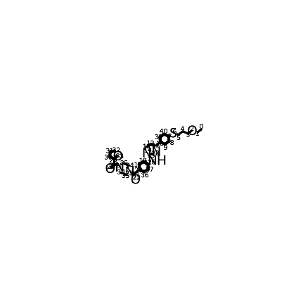 CCOCCCSc1ccc(-c2ccnc(Nc3ccc(C(=O)N4CCN(C(=O)c5ccco5)CC4)cc3)n2)cc1